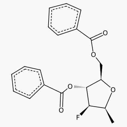 C[C@@H]1O[C@H](COC(=O)c2ccccc2)[C@@H](OC(=O)c2ccccc2)[C@@H]1F